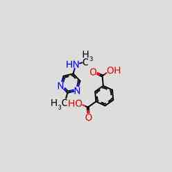 CNc1cnc(C)nc1.O=C(O)c1cccc(C(=O)O)c1